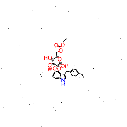 CCOC(=O)OC[C@H]1O[C@@H](O)[C@@](O)(Oc2cccc3[nH]cc(Cc4ccc(CC)cc4)c23)[C@@H](O)[C@@H]1O